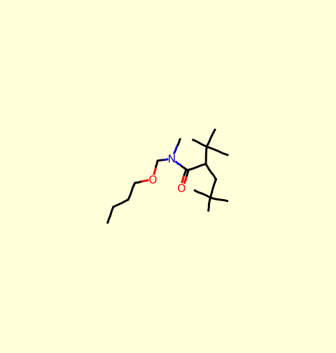 CCCCOCN(C)C(=O)C(CC(C)(C)C)C(C)(C)C